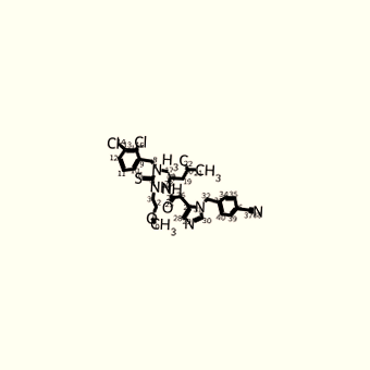 COCCNC(=S)N(Cc1cccc(Cl)c1Cl)C[C@H](CC(C)C)NC(=O)Cc1cncn1Cc1ccc(C#N)cc1